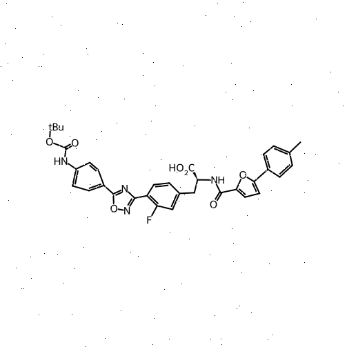 Cc1ccc(-c2ccc(C(=O)N[C@@H](Cc3ccc(-c4noc(-c5ccc(NC(=O)OC(C)(C)C)cc5)n4)c(F)c3)C(=O)O)o2)cc1